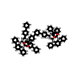 C1=CC2c3ccc4c5ccccc5n(-c5ccc(-c6ccccc6)cc5)c4c3N(c3nc(-c4ccccc4)nc(-c4ccc(-c5cccc(-c6ccc(-c7ccc(-n8c9ccccc9c9ccc%10c%11ccccc%11n(-c%11nc(-c%12ccc(-c%13ccccc%13)cc%12)nc(-c%12ccc(-c%13ccccc%13)cc%12)n%11)c%10c98)cc7)cc6)c5)cc4)n3)C2C=C1